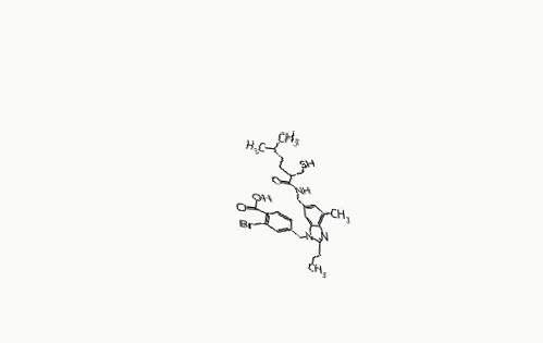 CCCc1nc2c(C)cc(CNC(=O)C(CS)CCC(C)C)cc2n1Cc1ccc(C(=O)O)c(Br)c1